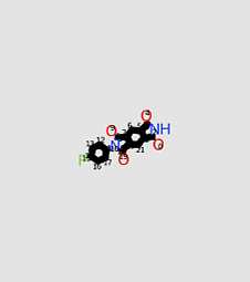 O=c1[nH]c(=O)c2cc3c(=O)n(-c4ccc(F)cc4)c(=O)c3cc12